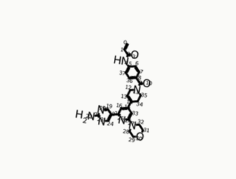 C=CC(=O)Nc1ccc(C(=O)N2CC=C(c3cc(-c4cnc(N)nc4)nc(N4CCOCC4)c3)CC2)cc1